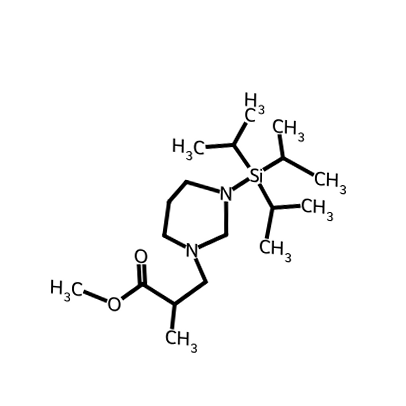 COC(=O)C(C)CN1CCCN([Si](C(C)C)(C(C)C)C(C)C)C1